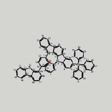 c1ccc(-n2c3ccc([Si](c4ccccc4)(c4ccccc4)c4ccccc4)cc3c3ccc4c5ccccc5n(-c5ccc(-c6cccc7c6sc6ccccc67)cc5)c4c32)cc1